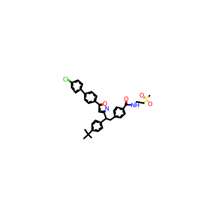 CC(C)(C)c1ccc(C(Cc2ccc(C(=O)NCCS(C)(=O)=O)cc2)c2cc(-c3ccc(-c4ccc(Cl)cc4)cc3)on2)cc1